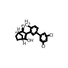 Cc1ccc(-c2cc(Cl)cc(Cl)c2)cc1C1=C(O)[C@H]2CC[C@H](C2)C1=O